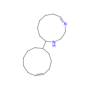 C1=CCCCC(C2CCCCCC=NCCN2)CCCCC1